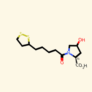 O=C(O)[C@@H]1CC(O)CN1C(=O)CCCCC1CCSS1